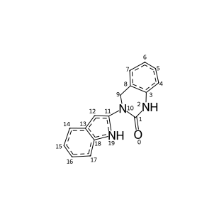 O=C1Nc2ccccc2CN1c1cc2ccccc2[nH]1